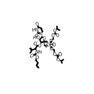 CCCCOC(=O)NC(C(=O)O[C@@H]1[C@@](CF)(COP(=O)(OCOC(=O)OC(C)C)OCOC(=O)OC(C)C)O[C@@H](n2ccc(=O)[nH]c2=O)[C@]1(C)O)C(C)C